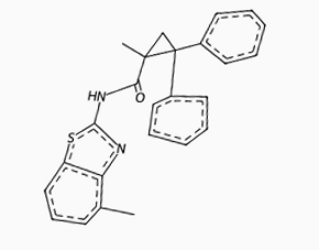 Cc1cccc2sc(NC(=O)C3(C)CC3(c3ccccc3)c3ccccc3)nc12